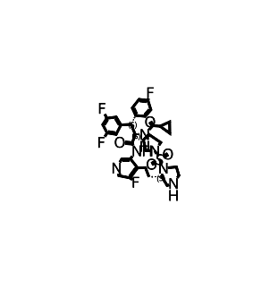 O=C(N[C@H](C(=O)Nc1cncc(F)c1CC[C@H]1CNCCN1S(=O)(=O)N1CCCC1)[C@@H](c1ccc(F)cc1)c1cc(F)cc(F)c1)C1CC1